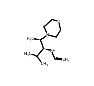 C=CN[C@@H](C(C)C)[C@@H](C)N1CCOCC1